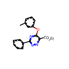 CCOC(=O)c1nnc(-c2ccccc2)nc1Oc1cccc(C)c1